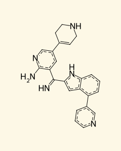 N=C(c1cc2c(-c3cccnc3)cccc2[nH]1)c1cc(C2=CCNCC2)cnc1N